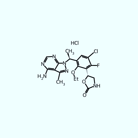 CCOc1c([C@H](C)n2nc(C)c3c(N)ncnc32)cc(Cl)c(F)c1[C@@H]1CNC(=O)O1.Cl